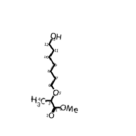 COC(=O)C(C)OCCCCCCCO